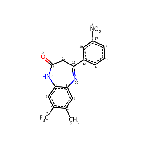 Cc1cc2c(cc1C(F)(F)F)NC(=O)CC(c1cccc([N+](=O)[O-])c1)=N2